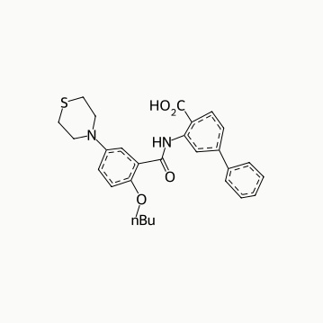 CCCCOc1ccc(N2CCSCC2)cc1C(=O)Nc1cc(-c2ccccc2)ccc1C(=O)O